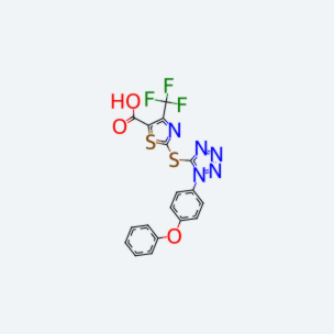 O=C(O)c1sc(Sc2nnnn2-c2ccc(Oc3ccccc3)cc2)nc1C(F)(F)F